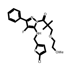 COCCOCC(C)(C)C(=O)n1nc(-c2ccccc2)c(F)c1NCc1ccc(Cl)s1